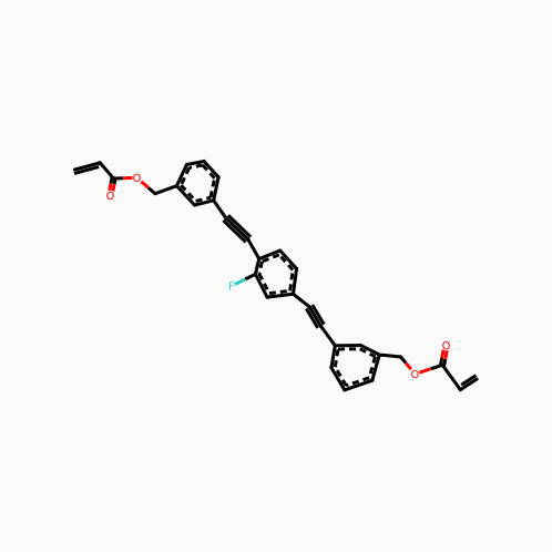 C=CC(=O)OCc1cccc(C#Cc2ccc(C#Cc3cccc(COC(=O)C=C)c3)c(F)c2)c1